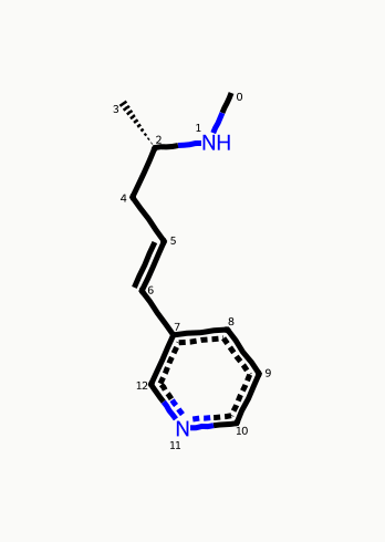 CN[C@@H](C)CC=Cc1cccnc1